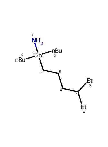 CCC[CH2][Sn]([NH2])([CH2]CCC)[CH2]CCC(CC)CC